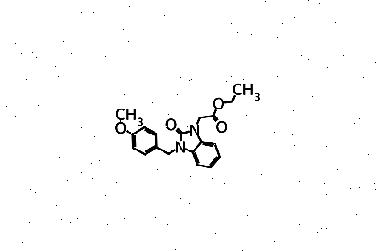 CCOC(=O)Cn1c(=O)n(Cc2ccc(OC)cc2)c2ccccc21